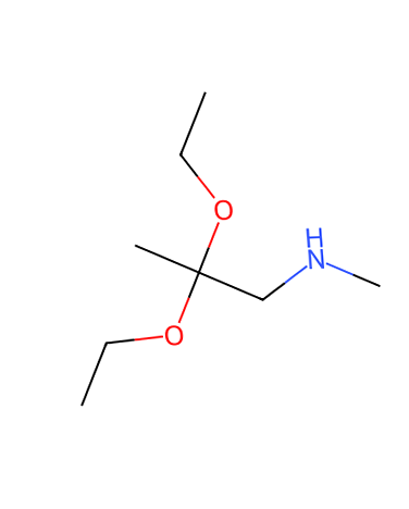 CCOC(C)(CNC)OCC